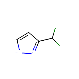 ClC(Cl)c1cc[nH]n1